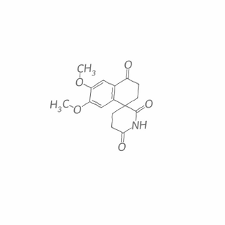 COc1cc2c(cc1OC)C1(CCC(=O)NC1=O)CCC2=O